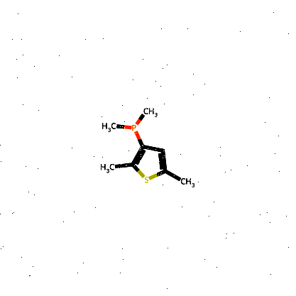 Cc1cc(P(C)C)c(C)s1